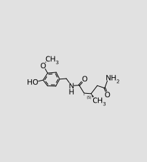 COc1cc(CNC(=O)[CH][C@H](C)CC(N)=O)ccc1O